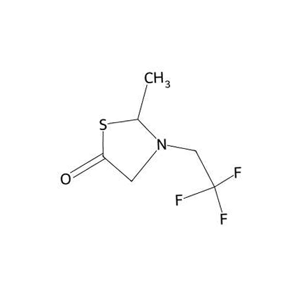 CC1SC(=O)CN1CC(F)(F)F